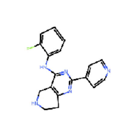 Fc1ccccc1Nc1nc(-c2ccncc2)nc2c1CNCC2